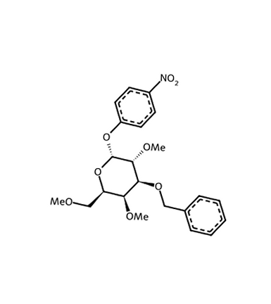 COC[C@H]1O[C@H](Oc2ccc([N+](=O)[O-])cc2)[C@H](OC)[C@@H](OCc2ccccc2)[C@H]1OC